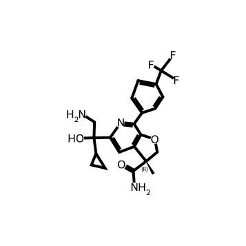 C[C@]1(C(N)=O)COc2c1cc(C(O)(CN)C1CC1)nc2-c1ccc(C(F)(F)F)cc1